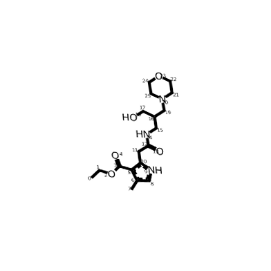 CCOC(=O)c1c(C)c[nH]c1CC(=O)NCC(CO)CN1CCOCC1